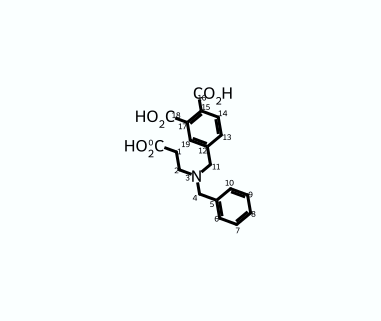 O=C(O)CCN(Cc1ccccc1)Cc1ccc(C(=O)O)c(C(=O)O)c1